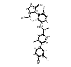 Cc1nc([C@H](C)Nc2ncc(F)c(N3C(=O)OC[C@@H]3[C@H](C)F)n2)ncc1-c1ccc(Cl)c(F)c1